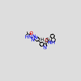 CC(C)C(=O)Nc1nc2cc(-c3ccc4c(c3)c(C(=O)N[C@]3([SiH3])CCCc5ccccc53)cn4C)ccn2n1